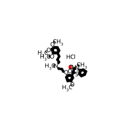 COc1ccc(OCCCN(C)CCCc2ccc(OC)c(OC)c2OC)c(C2(OC)Sc3ccccc3N(C)C2=O)c1.Cl